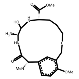 CN[C@@H]1C(=O)N[C@@H](N)C(O)N[C@H](C(=O)OC)CCCCCc2cc1ccc2OC